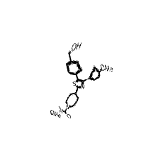 COc1ccc(-c2nc(C3CCN(C(=O)N(C)OC)CC3)sc2-c2ccc(CO)cc2)cc1